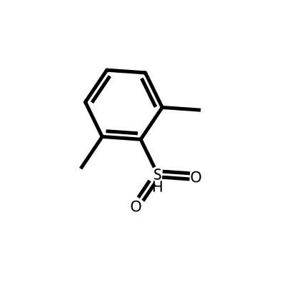 Cc1cccc(C)c1[SH](=O)=O